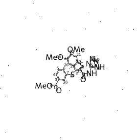 COC(=O)c1cccc(Sc2c(C(=O)Nc3nnn[nH]3)sc3cc(OC)c(OC)cc23)c1